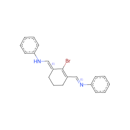 BrC1=C(/C=N/c2ccccc2)CCC/C1=C\Nc1ccccc1